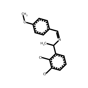 COc1ccc(/C=N\C(C)c2cccc(Cl)c2Cl)cc1